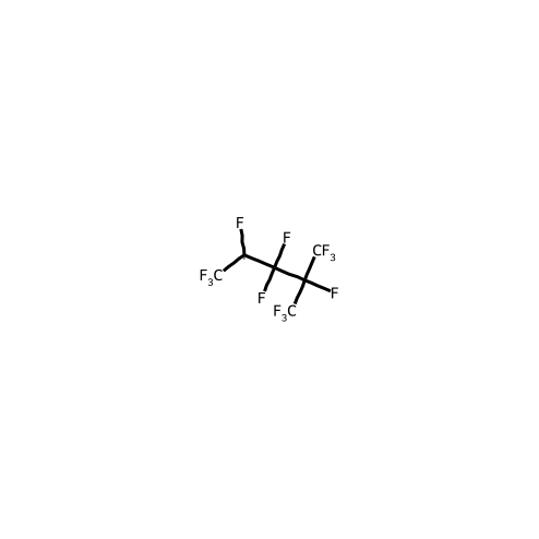 F[C](C(F)(F)F)C(F)(F)C(F)(C(F)(F)F)C(F)(F)F